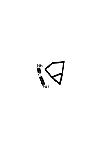 C1CC2CC2C1.N=C=N